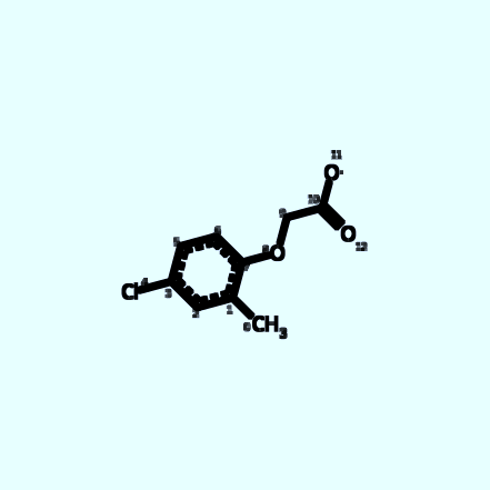 Cc1cc(Cl)ccc1OCC([O])=O